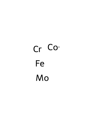 [Co].[Cr].[Fe].[Mo]